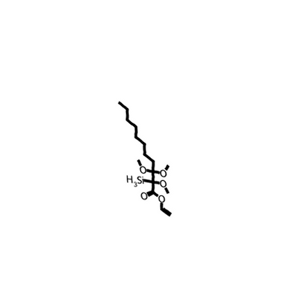 C=COC(=O)C([SiH3])(OC)C(CCCCCCCC)(OC)OC